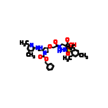 Cc1cc(C)nc(NCC2CC(OCC(=O)NCC(NS(=O)(=O)c3c(C)cc(C)cc3C)C(=O)O)CN2C(=O)OCc2ccccc2)c1